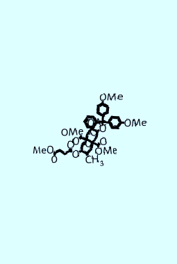 COC(=O)CCC(=O)OC1C(C)C2OC1C1(C(=O)OC)C3OC(C(OC(c4ccccc4)(c4ccc(OC)cc4)c4ccc(OC)cc4)C3OC(C)=O)C21C(=O)OC